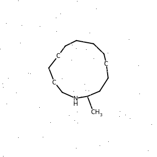 CC1CCCCCCCCCCCN1